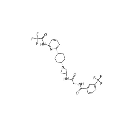 O=C(CNC(=O)c1cccc(C(F)(F)F)c1)NC1CN([C@H]2CC[C@@H](c3cccc(NC(=O)C(F)(F)F)n3)CC2)C1